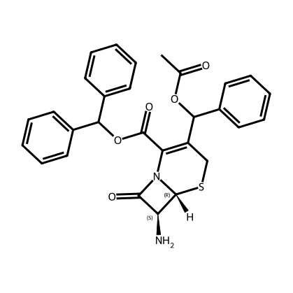 CC(=O)OC(C1=C(C(=O)OC(c2ccccc2)c2ccccc2)N2C(=O)[C@H](N)[C@H]2SC1)c1ccccc1